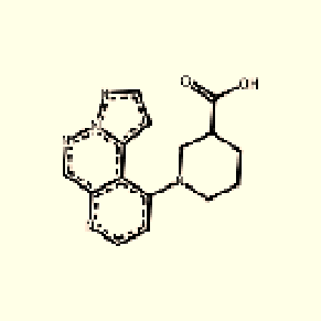 O=C(O)C1CCCN(c2ccnc3cnn4nccc4c23)C1